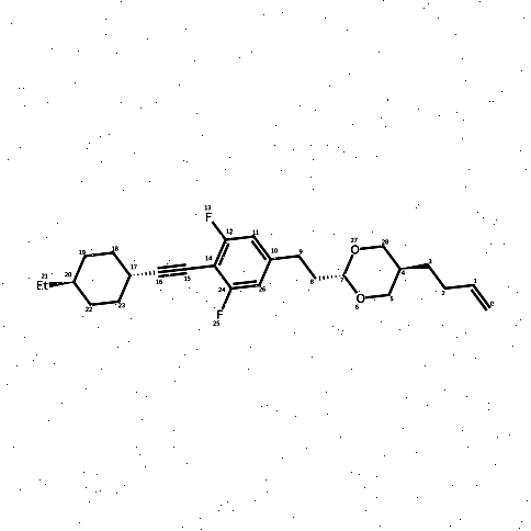 C=CCC[C@H]1CO[C@H](CCc2cc(F)c(C#C[C@H]3CC[C@H](CC)CC3)c(F)c2)OC1